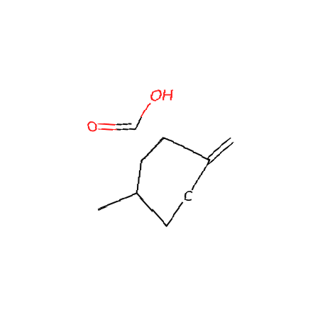 C=C1CCC(C)CC1.O=CO